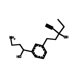 C#CC(O)(CC)CCc1cccc(C(O)CCN)c1